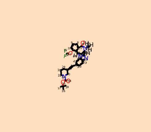 [2H]C([2H])([2H])N1C(=O)c2cccc(OC(F)F)c2[C@H]2C[C@@H]1c1nc3ccc(C#CC4CCCN(C(=O)OC(C)(C)C)C4)cc3n12